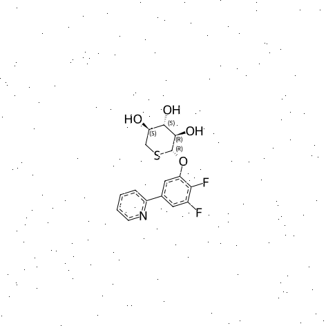 O[C@@H]1[C@@H](O)[C@H](Oc2cc(-c3ccccn3)cc(F)c2F)SC[C@H]1O